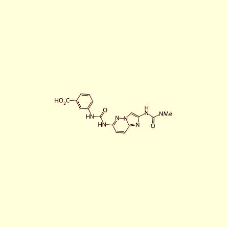 CNC(=O)Nc1cn2nc(NC(=O)Nc3cccc(C(=O)O)c3)ccc2n1